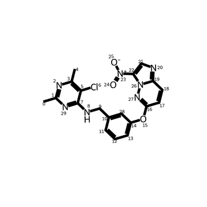 Cc1nc(C)c(Cl)c(NCc2cccc(Oc3ccc4ncc([N+](=O)[O-])n4n3)c2)n1